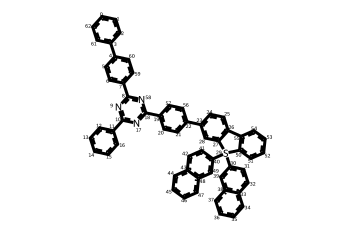 c1ccc(-c2ccc(-c3nc(-c4ccccc4)nc(-c4ccc(-c5ccc6c(c5)S(c5ccc7ccccc7c5)(c5ccc7ccccc7c5)c5ccccc5-6)cc4)n3)cc2)cc1